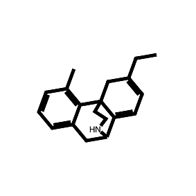 CCC1=CC=C2C3Cc4cccc(C)c4C2(CCN3)C1